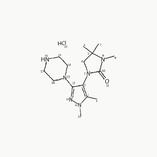 Cc1c(N2CC(C)(C)N(C)C2=O)c(N2CCNCC2)nn1C.Cl